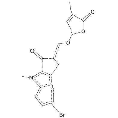 CC1=CC(O/C=C2\Cc3c(n(C)c4ccc(Br)cc34)C2=O)OC1=O